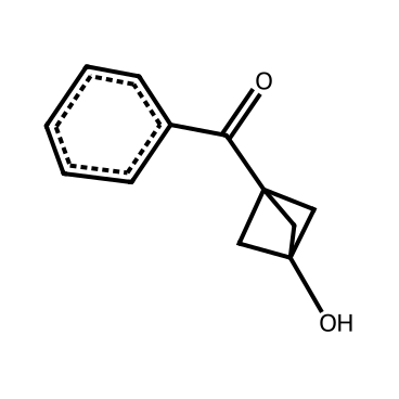 O=C(c1ccccc1)C12CC(O)(C1)C2